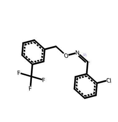 FC(F)(F)c1cccc(CO/N=[C]\c2ccccc2Cl)c1